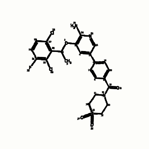 CC(Oc1cc(-c2ccc(C(=O)N3CCS(=O)(=O)CC3)cc2)cnc1N)c1c(Cl)ccc(F)c1Cl